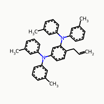 C=CCc1ccc(N(c2cccc(C)c2)c2cccc(C)c2)cc1N(c1cccc(C)c1)c1cccc(C)c1